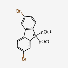 CCCCCCCC[Si]1(CCCCCCCC)c2ccc(Br)cc2-c2ccc(Br)cc21